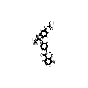 CC(=O)Oc1ccc2c(c1)nc(C(F)(F)F)n2-c1ccc(NC(=O)c2cccc(F)c2F)cc1